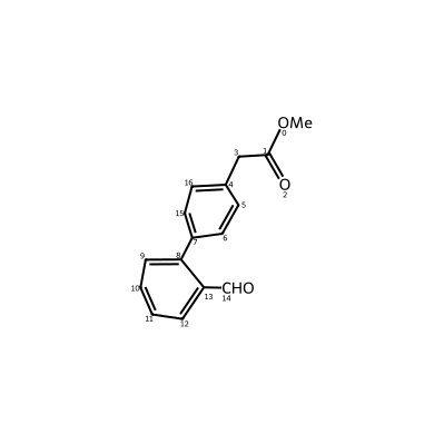 COC(=O)Cc1ccc(-c2ccccc2C=O)cc1